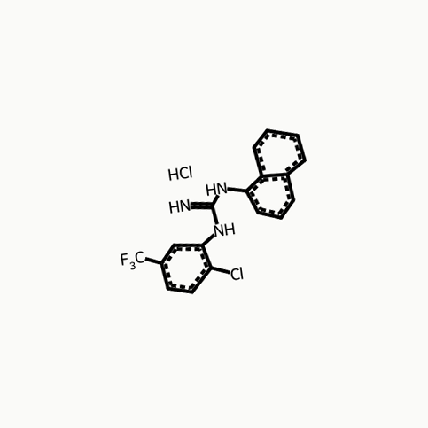 Cl.N=C(Nc1cc(C(F)(F)F)ccc1Cl)Nc1cccc2ccccc12